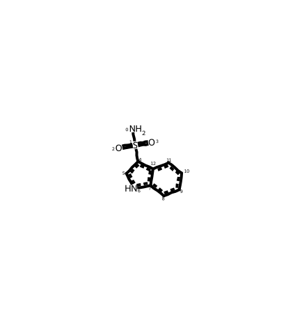 NS(=O)(=O)c1c[nH]c2ccccc12